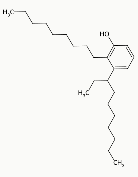 CCCCCCCCCc1c(O)cccc1C(CC)CCCCCCC